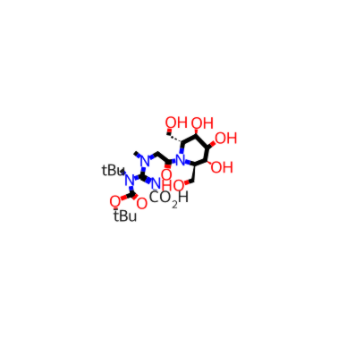 CN(CC(=O)N1[C@H](CO)[C@@H](O)C(O)[C@H](O)[C@H]1CO)C(=NC(=O)O)N(C(=O)OC(C)(C)C)C(C)(C)C